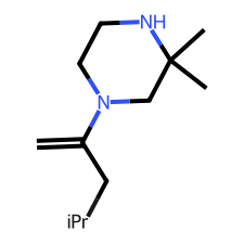 C=C(CC(C)C)N1CCNC(C)(C)C1